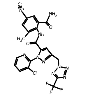 [C-]#[N+]c1cc(C)c(NC(=O)c2cc(Cn3nnc(C(F)(F)F)n3)nn2-c2ncccc2Cl)c(C(N)=O)c1